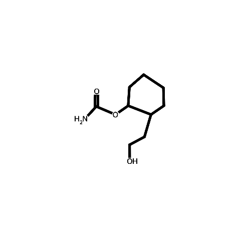 NC(=O)OC1CCCCC1CCO